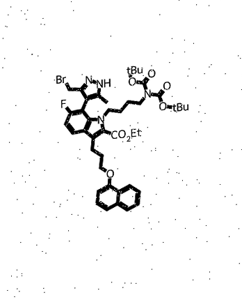 CCOC(=O)c1c(CCCOc2cccc3ccccc23)c2ccc(F)c(-c3c(CBr)n[nH]c3C)c2n1CCCCN(C(=O)OC(C)(C)C)C(=O)OC(C)(C)C